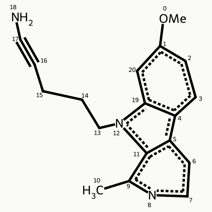 COc1ccc2c3ccnc(C)c3n(CCCC#CN)c2c1